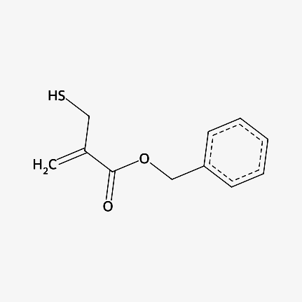 C=C(CS)C(=O)OCc1ccccc1